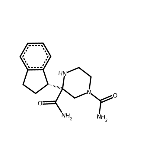 NC(=O)N1CCNC(C(N)=O)([C@@H]2CCc3ccccc32)C1